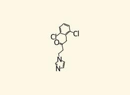 O=C(CCn1ccnc1)Cc1c(Cl)cccc1Cl